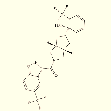 CC1([C@@H]2C[C@@H]3CN(C(=O)c4nnc5ccc(C(F)(F)F)cn45)C[C@@H]3C2)C=CC=CC1C(F)(F)F